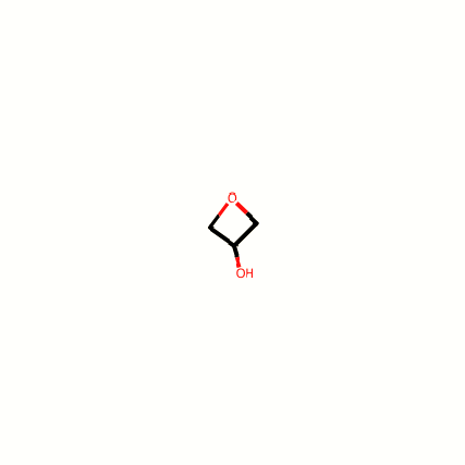 O[C]1COC1